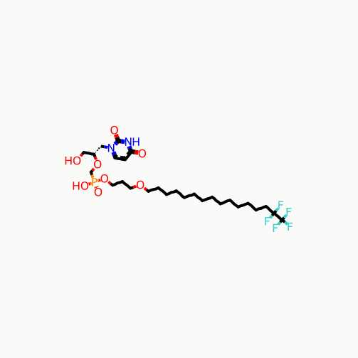 O=c1ccn(C[C@@H](CO)OCP(=O)(O)OCCCOCCCCCCCCCCCCCCC(F)(F)C(F)(F)F)c(=O)[nH]1